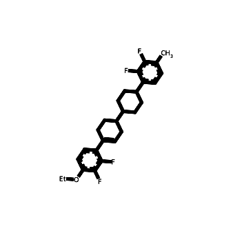 CCOc1ccc(C2=CCC(C3CCC(c4ccc(C)c(F)c4F)CC3)CC2)c(F)c1F